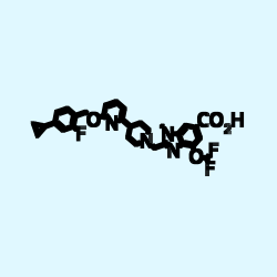 Cn1c(CN2CCC(c3cccc(OCc4ccc(C5CC5)cc4F)n3)CC2)nc2c(OC(F)F)cc(C(=O)O)cc21